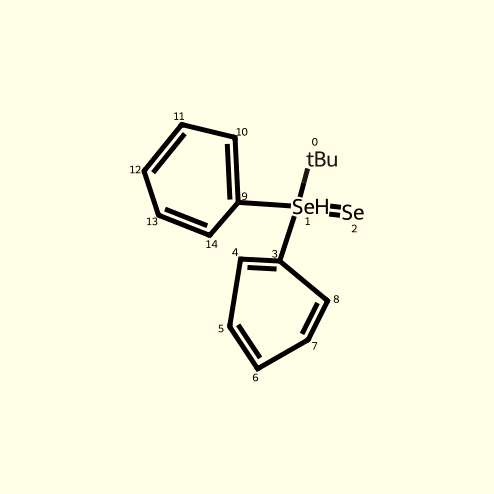 CC(C)(C)[SeH](=[Se])(c1ccccc1)c1ccccc1